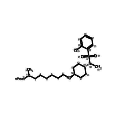 CCCCCN(C)CCCCCCO[C@H]1CC[C@H](N(C)S(=O)(=O)c2ccccc2Cl)CC1